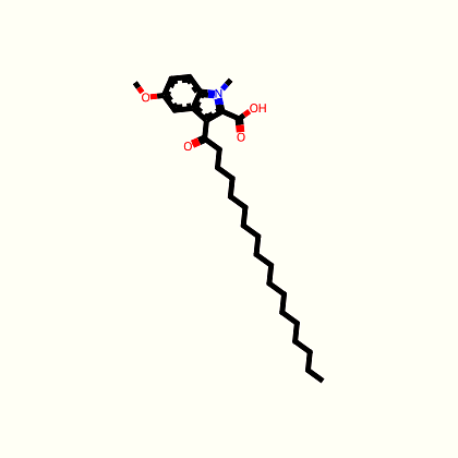 CCCCCCCCCCCCCCCCCC(=O)c1c(C(=O)O)n(C)c2ccc(OC)cc12